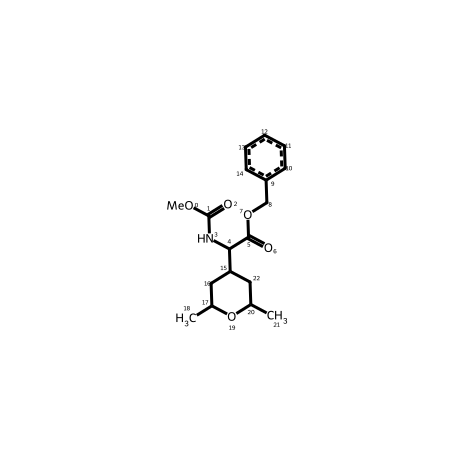 COC(=O)NC(C(=O)OCc1ccccc1)C1CC(C)OC(C)C1